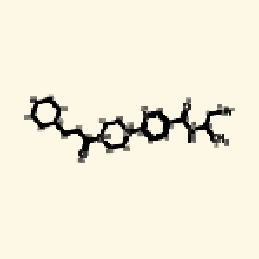 CC(C)CC(C)NC(=O)c1ccc(N2CCN(C(=O)CCC3CCCCC3)CC2)nc1